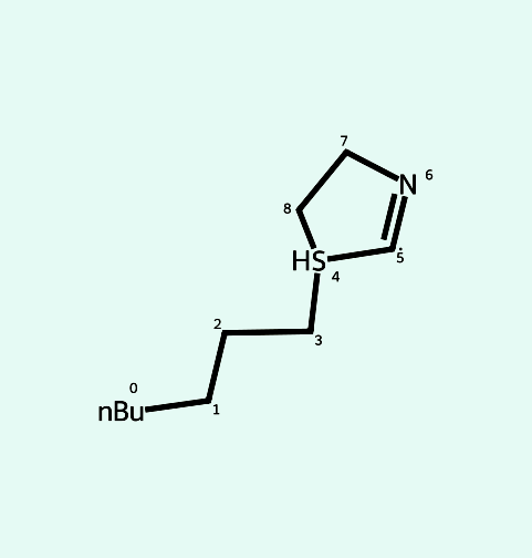 CCCCCCC[SH]1[C]=NCC1